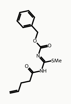 C=CCCC(=O)N/C(=N/C(=O)OCc1ccccc1)SC